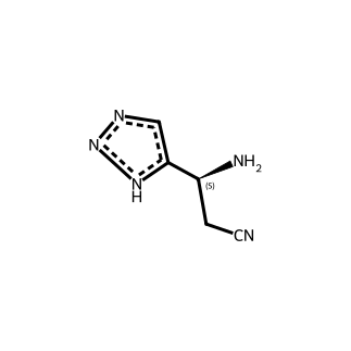 N#CC[C@H](N)c1cnn[nH]1